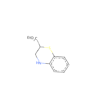 CCOC(=O)C1CNc2ccccc2S1